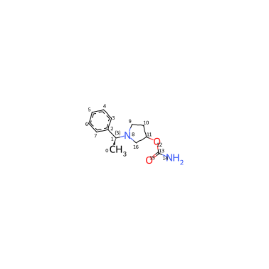 C[C@@H](c1ccccc1)N1CCC(OC(N)=O)C1